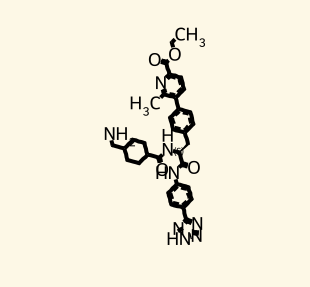 CCOC(=O)c1ccc(-c2ccc(C[C@H](NC(=O)C3CCC(CN)CC3)C(=O)Nc3ccc(-c4nn[nH]n4)cc3)cc2)c(C)n1